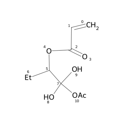 C=CC(=O)OC(CC)C(O)(O)OC(C)=O